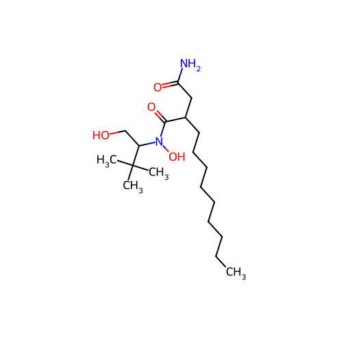 CCCCCCCCCC(CC(N)=O)C(=O)N(O)C(CO)C(C)(C)C